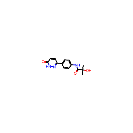 CC(C)(O)C(=O)Nc1ccc(-c2ccc(=O)[nH]n2)cc1